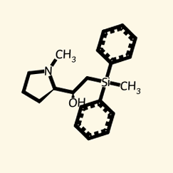 CN1CCC[C@@H]1[C@@H](O)C[Si](C)(c1ccccc1)c1ccccc1